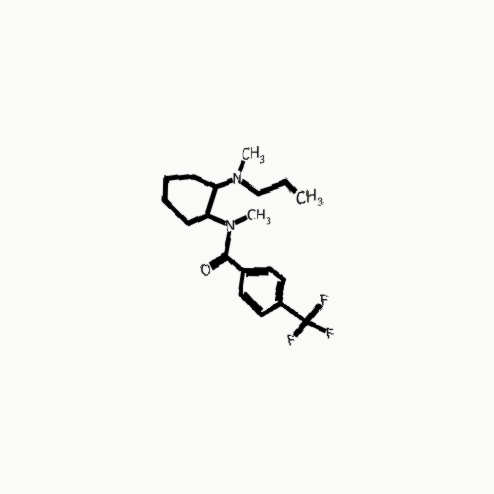 CCCN(C)C1CCCCC1N(C)C(=O)c1ccc(C(F)(F)F)cc1